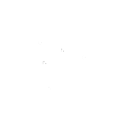 CCn1c(=O)cc(Cl)[nH]c1=O